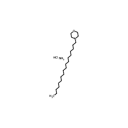 CCCCCCCCCCCCCCCCCCN1CCOCC1.Cl.N